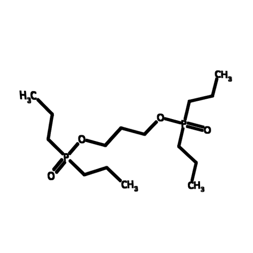 CCCP(=O)(CCC)OCCCOP(=O)(CCC)CCC